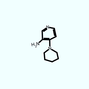 Nc1cnccc1N1CCCCC1